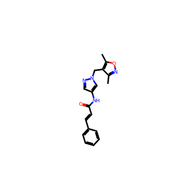 Cc1noc(C)c1Cn1cc(NC(=O)C=Cc2ccccc2)cn1